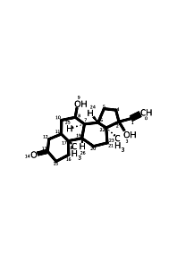 C#CC1(O)CC[C@H]2[C@@H]3C(O)CC4CC(=O)CC[C@]4(C)[C@@H]3CC[C@@]21C